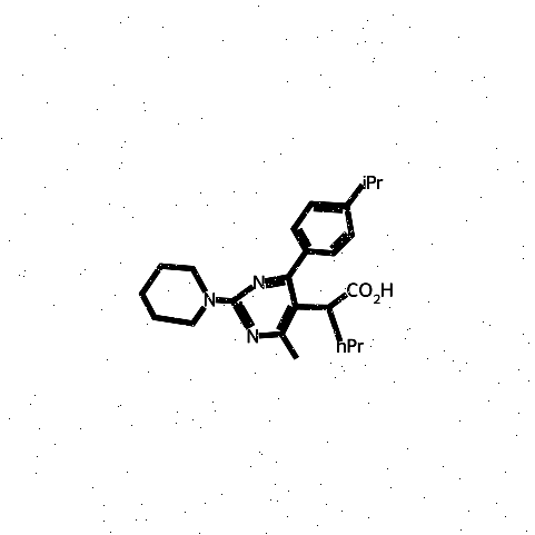 CCCC(C(=O)O)c1c(C)nc(N2CCCCC2)nc1-c1ccc(C(C)C)cc1